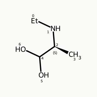 CCN[C@@H](C)C(O)O